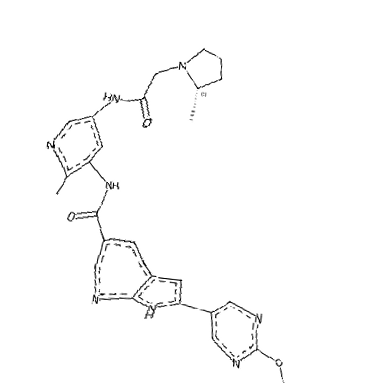 COc1ncc(-c2cc3cc(C(=O)Nc4cc(NC(=O)CN5CCC[C@@H]5C)cnc4C)cnc3[nH]2)cn1